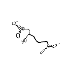 O=[N+]([O-])CCCC(O)C[N+](=O)[O-]